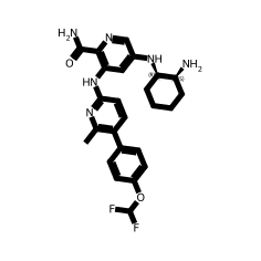 Cc1nc(Nc2cc(N[C@@H]3CCCC[C@@H]3N)cnc2C(N)=O)ccc1-c1ccc(OC(F)F)cc1